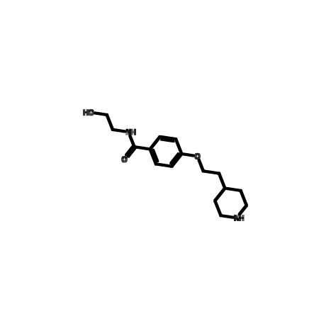 O=C(NCCO)c1ccc(OCCC2CCNCC2)cc1